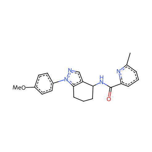 COc1ccc(-n2ncc3c2CCCC3NC(=O)c2cccc(C)n2)cc1